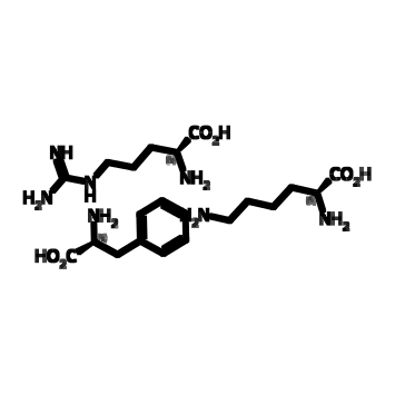 N=C(N)NCCC[C@H](N)C(=O)O.NCCCC[C@H](N)C(=O)O.N[C@@H](Cc1ccccc1)C(=O)O